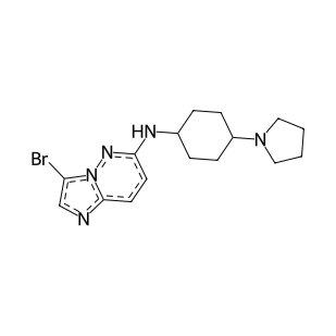 Brc1cnc2ccc(NC3CCC(N4CCCC4)CC3)nn12